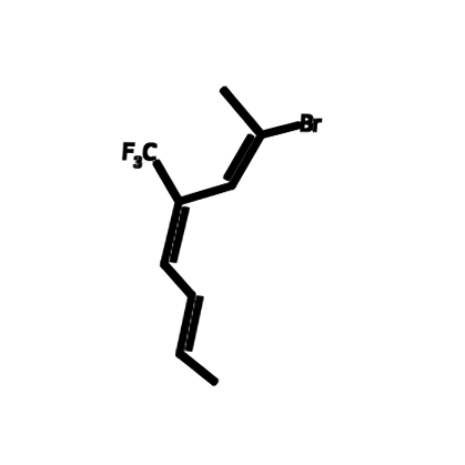 CC=C/C=C(\C=C(/C)Br)C(F)(F)F